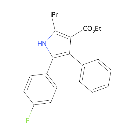 CCOC(=O)c1c(C(C)C)[nH]c(-c2ccc(F)cc2)c1-c1ccccc1